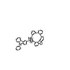 c1ccc(-n2c3ccccc3c3cc(-c4nc5nc(n4)c4cccc6oc7ccc(cc7c64)c4ccccc4c4cccc5c4)ccc32)cc1